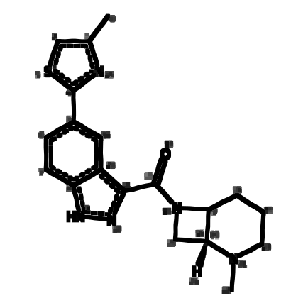 Cc1csc(-c2ccc3[nH]nc(C(=O)N4C[C@@H]5C4CCCN5C)c3c2)n1